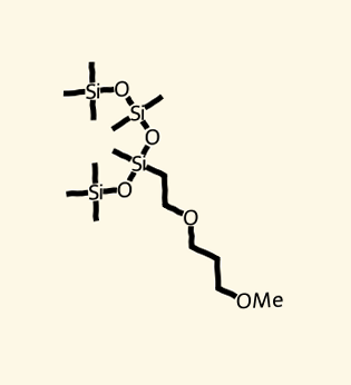 COCCCOCC[Si](C)(O[Si](C)(C)C)O[Si](C)(C)O[Si](C)(C)C